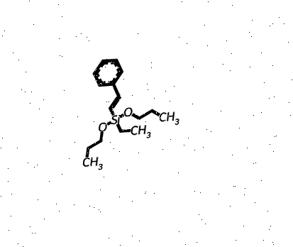 CCCO[Si](C=Cc1ccccc1)(CC)OCCC